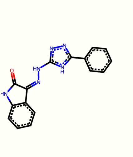 O=C1Nc2ccccc2/C1=N/Nc1nnc(-c2ccccc2)[nH]1